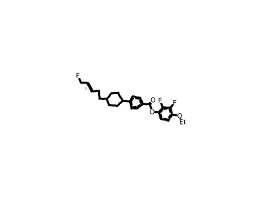 CCOc1ccc(OC(=O)c2ccc(C3CCC(CC/C=C/CF)CC3)cc2)c(F)c1F